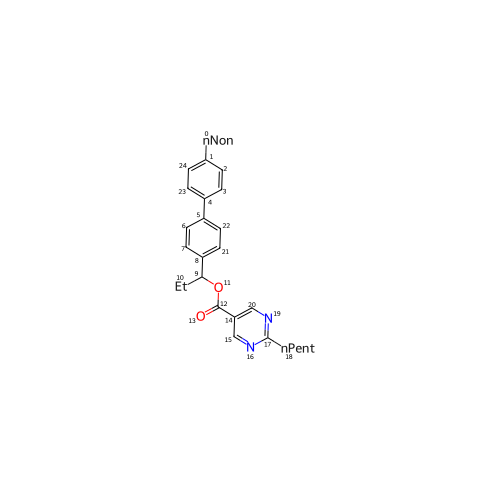 CCCCCCCCCc1ccc(-c2ccc(C(CC)OC(=O)c3cnc(CCCCC)nc3)cc2)cc1